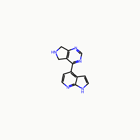 c1nc2c(c(-c3ccnc4[nH]ccc34)n1)CNC2